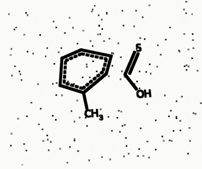 Cc1ccccc1.OC=S